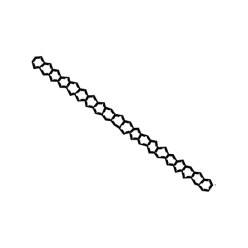 [c]1ccc2cc3cc4cc5cc6cc7cc8cc9cc%10cc%11cc%12cc%13cc%14cc%15cc%16cc%17cc%18cc%19cc%20ccccc%20cc%19cc%18cc%17cc%16cc%15cc%14cc%13cc%12cc%11cc%10cc9cc8cc7cc6cc5cc4cc3cc2c1